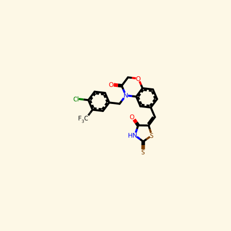 O=C1NC(=S)SC1=Cc1ccc2c(c1)N(Cc1ccc(Cl)c(C(F)(F)F)c1)C(=O)CO2